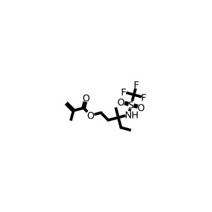 C=C(C)C(=O)OCCC(C)(CC)NS(=O)(=O)C(F)(F)F